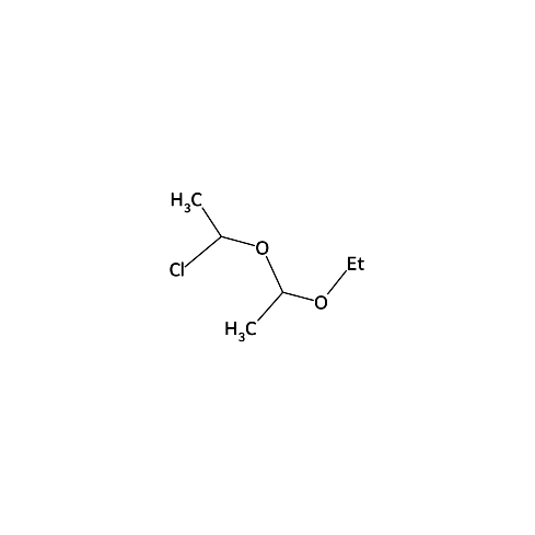 CCOC(C)OC(C)Cl